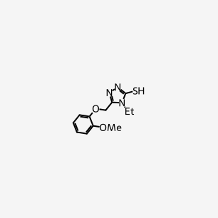 CCn1c(S)nnc1COc1ccccc1OC